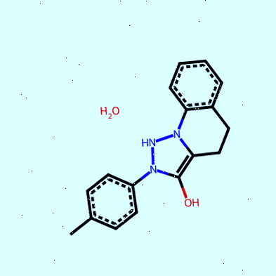 Cc1ccc(N2NN3C(=C2O)CCc2ccccc23)cc1.O